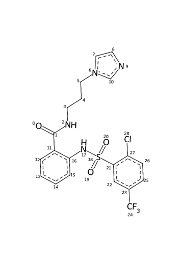 O=C(NCCCn1ccnc1)c1ccccc1NS(=O)(=O)c1cc(C(F)(F)F)ccc1Cl